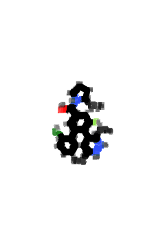 COc1cc(-c2c(F)cc(C(=O)N3CCCC3C(=O)O)cc2-c2ccccc2Cl)c(OC)nn1